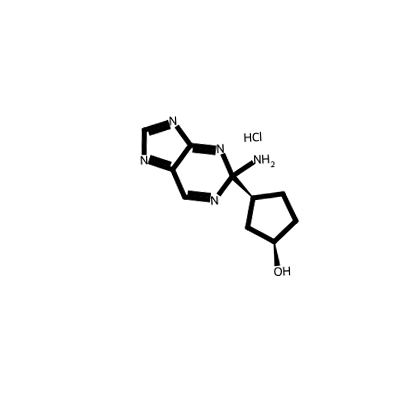 Cl.NC1([C@H]2CC[C@@H](O)C2)N=CC2=NC=NC2=N1